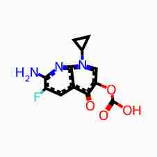 Nc1nc2c(cc1F)c(=O)c(OC(=O)O)cn2C1CC1